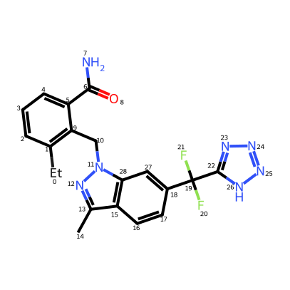 CCc1cccc(C(N)=O)c1Cn1nc(C)c2ccc(C(F)(F)c3nnn[nH]3)cc21